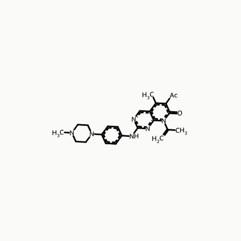 C=C(C)n1c(=O)c(C(C)=O)c(C)c2cnc(Nc3ccc(N4CCN(C)CC4)cc3)nc21